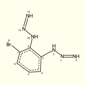 N=NNc1cccc(Br)c1NN=N